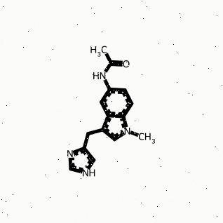 CC(=O)Nc1ccc2c(c1)c(Cc1c[nH]cn1)cn2C